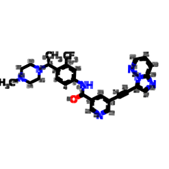 C[C@@H](c1ccc(NC(=O)c2cncc(C#Cc3cnc4cccnn34)c2)cc1C(F)(F)F)N1CCN(C)CC1